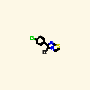 CCc1c(-c2ccc(Cl)cc2)nc2sccn12